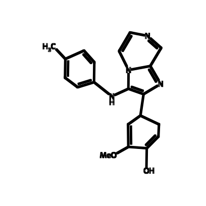 COC1=CC(c2nc3cnccn3c2Nc2ccc(C)cc2)CC=C1O